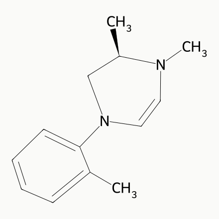 Cc1ccccc1N1C=CN(C)[C@H](C)C1